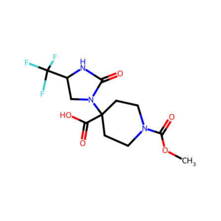 COC(=O)N1CCC(C(=O)O)(N2CC(C(F)(F)F)NC2=O)CC1